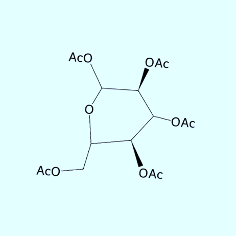 CC(=O)OCC1OC(OC(C)=O)[C@@H](OC(C)=O)C(OC(C)=O)[C@H]1OC(C)=O